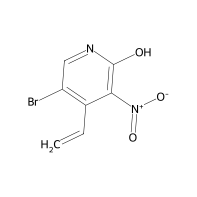 C=Cc1c(Br)cnc(O)c1[N+](=O)[O-]